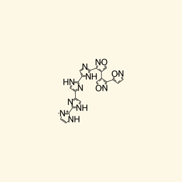 C1=CNC(c2nc(-c3c[nH]c(-c4cnc(-c5nocc5-c5conc5-c5ccno5)[nH]4)n3)c[nH]2)=[N+]1